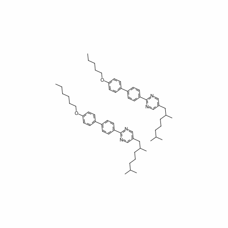 CCCCCCOc1ccc(-c2ccc(-c3ncc(CC(C)CCCC(C)C)cn3)cc2)cc1.CCCCCOc1ccc(-c2ccc(-c3ncc(CC(C)CCCC(C)C)cn3)cc2)cc1